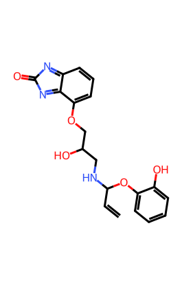 C=CC(NCC(O)COc1cccc2c1=NC(=O)N=2)Oc1ccccc1O